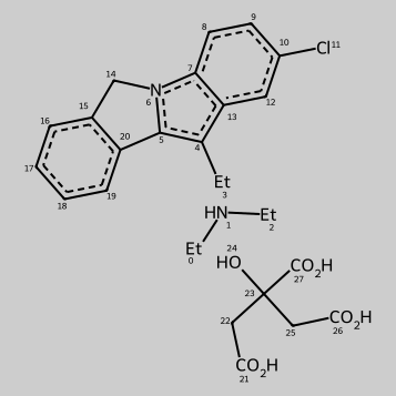 CCNCC.CCc1c2n(c3ccc(Cl)cc13)Cc1ccccc1-2.O=C(O)CC(O)(CC(=O)O)C(=O)O